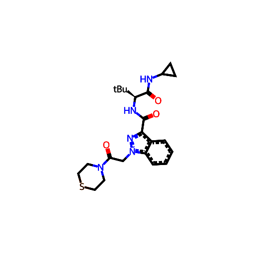 CC(C)(C)[C@H](NC(=O)c1nn(CC(=O)N2CCSCC2)c2ccccc12)C(=O)NC1CC1